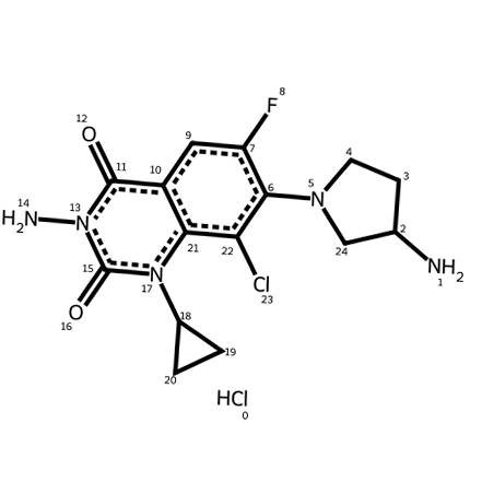 Cl.NC1CCN(c2c(F)cc3c(=O)n(N)c(=O)n(C4CC4)c3c2Cl)C1